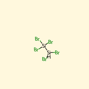 Br[SiH](Br)[Si](Br)(Br)Br